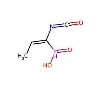 CC=C(N=C=O)[PH](=O)O